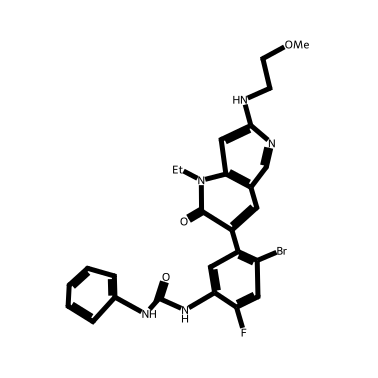 CCn1c(=O)c(-c2cc(NC(=O)Nc3ccccc3)c(F)cc2Br)cc2cnc(NCCOC)cc21